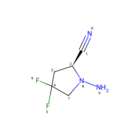 N#C[C@@H]1CC(F)(F)CN1N